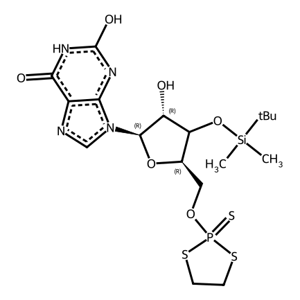 CC(C)(C)[Si](C)(C)OC1[C@@H](O)[C@H](n2cnc3c(=O)[nH]c(O)nc32)O[C@@H]1COP1(=S)SCCS1